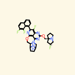 Fc1ccc2cccc(-c3nc4c5c(nc(OC[C@@]67CCCN6C[C@H](F)C7)nc5c3F)N3CC5CCC(N5)C3CO4)c2c1F